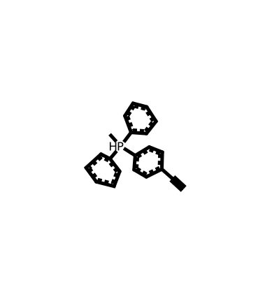 C#Cc1ccc([PH](C)(c2ccccc2)c2ccccc2)cc1